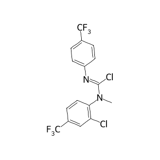 CN(/C(Cl)=N/c1ccc(C(F)(F)F)cc1)c1ccc(C(F)(F)F)cc1Cl